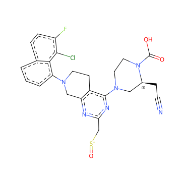 N#CC[C@H]1CN(c2nc(C[S+]=O)nc3c2CCN(c2cccc4ccc(F)c(Cl)c24)C3)CCN1C(=O)O